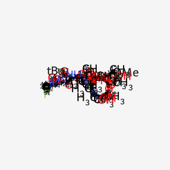 CC[C@H]1OC(=O)[C@H](C)[C@@H](O[C@H]2C[C@@](C)(OC)[C@@H](O)[C@H](C)O2)[C@H](C)[C@@H](O[C@@H]2O[C@H](C)[C@@H](OC(=O)CC[C@H](NC(=O)OC(C)(C)C)C(=O)NC[C@H]3CN(c4cccc(F)c4)C(=O)O3)[C@H](N(C)C)[C@H]2O)[C@](C)(O)C[C@@H](C)CN(C)[C@H](C)[C@@H](O)[C@]1(C)O